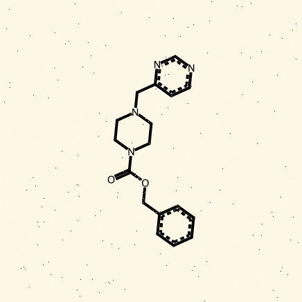 O=C(OCc1ccccc1)N1CCN(Cc2ccncn2)CC1